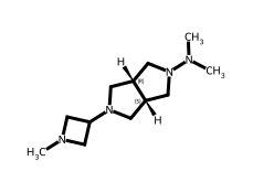 CN1CC(N2C[C@@H]3CN(N(C)C)C[C@@H]3C2)C1